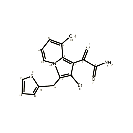 CCc1c(C(=O)C(N)=O)c2c(O)cccn2c1Cc1cccs1